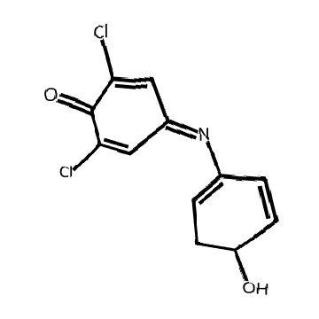 O=C1C(Cl)=CC(=NC2=CCC(O)C=C2)C=C1Cl